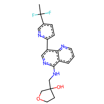 CC(F)(F)c1ccc(-c2cnc(NCC3(O)CCOC3)c3cccnc23)nc1